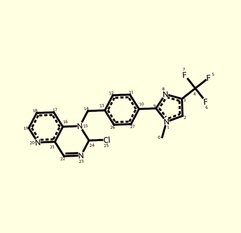 Cn1cc(C(F)(F)F)nc1-c1ccc(CN2c3cccnc3C=NC2Cl)cc1